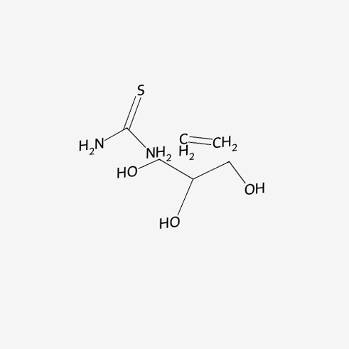 C=C.NC(N)=S.OCC(O)CO